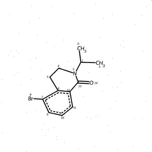 CC(C)N1CCc2c(Br)cccc2C1=O